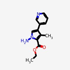 CCOC(=O)c1c(C)c(-c2cccnc2)cn1N